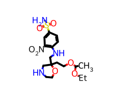 CCOC(C)OCCC1(CNc2ccc(S(N)(=O)=O)cc2[N+](=O)[O-])CNCCO1